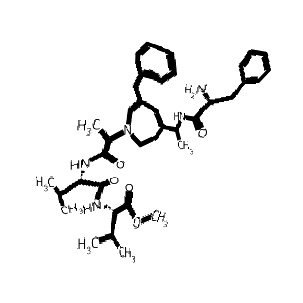 COC(=O)[C@@H](NC(=O)[C@@H](NC(=O)C(C)N1CCC(C(C)NC(=O)[C@@H](N)Cc2ccccc2)=CC(Cc2ccccc2)C1)C(C)C)C(C)C